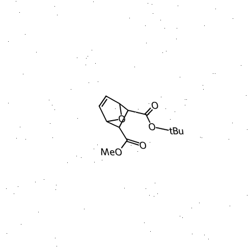 COC(=O)C1C2C=CC(O2)C1C(=O)OC(C)(C)C